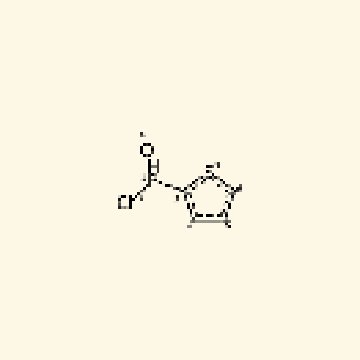 O=[PH](Cl)c1cccs1